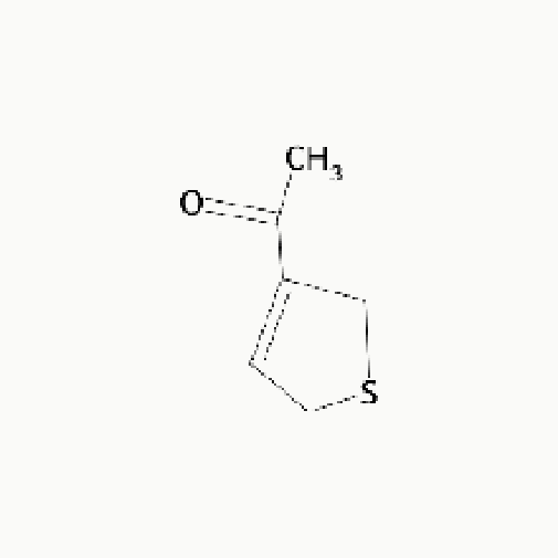 CC(=O)C1=CCSC1